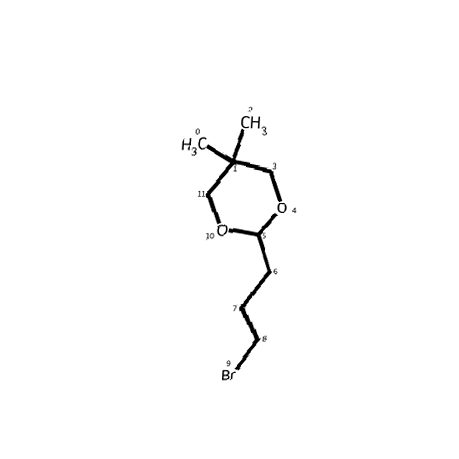 CC1(C)COC(CCCBr)OC1